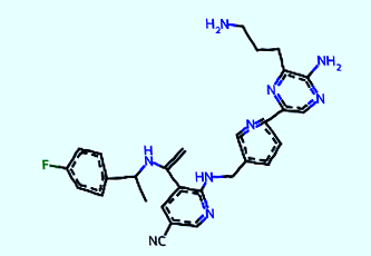 C=C(NC(C)c1ccc(F)cc1)c1cc(C#N)cnc1NCc1ccc(-c2cnc(N)c(CCCN)n2)nc1